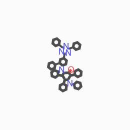 c1ccc(-c2nc(-c3ccccc3)nc(-c3ccc(-n4c5ccccc5c5c6c7ccccc7n(-c7ccccc7)c6c6c7ccccc7oc6c54)c(-c4ccccc4)c3)n2)cc1